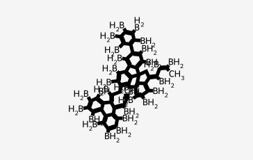 B/C(C)=C(B)/C(B)=C1\CC2(c3c(B)c(B)c(B)c(B)c31)c1c(B)c(B)c(-c3c(B)c(B)c(B)c(B)c3B)c(B)c1-c1c(B)c(B)c(C/C(B)=c3\c(=C(\B)C#C)c4c(B)c(B)c(B)c(B)c4c4c(B)c(B)c(B)c(B)c34)c(B)c12